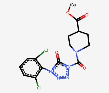 CC(C)(C)OC(=O)C1CCN(C(=O)n2nnn(-c3c(Cl)cccc3Cl)c2=O)CC1